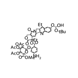 CCc1c2c(nc3ccc(OC(O)OC(C)(C)C)cc13)-c1cc3c(c(=O)n1C2)COC(=O)[C@@]3(CC)OC(=O)c1ccc(N)cc1O[C@@H]1O[C@H](C(=O)OC)[C@@H](OC(C)=O)[C@H](OC(C)=O)[C@H]1OC(C)=O